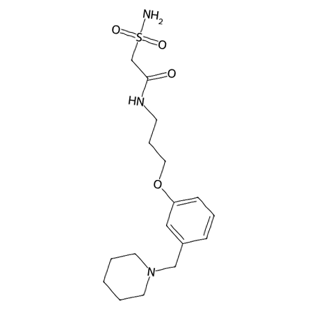 NS(=O)(=O)CC(=O)NCCCOc1cccc(CN2CCCCC2)c1